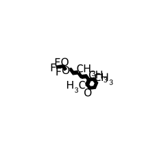 CC1=C(/C=C/C(C)=C/COC(=O)C(F)(F)F)C(C)(C)CCC1=O